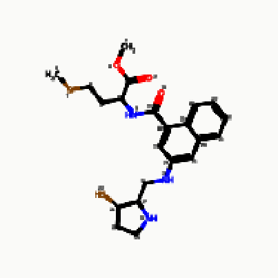 COC(=O)[C@H](CCSC)NC(=O)c1cc(NC[C@H]2NCC[C@H]2S)cc2ccccc12